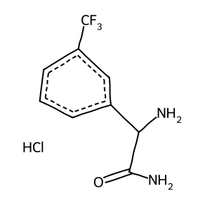 Cl.NC(=O)C(N)c1cccc(C(F)(F)F)c1